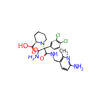 Cc1nc(N)ccc1CNC(=O)[C@@](C(N)=O)(c1ccc(Cl)c(Cl)c1)N1CCCC[C@@H]1C(=O)O